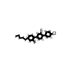 CCCCCc1ccc(-c2ccc(-c3ccc(Cl)cc3)c(F)c2)c(F)c1